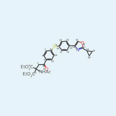 CCOC(=O)C(CC(=O)c1ccc(Sc2ccc(-c3coc(C4CC4)n3)cc2)cc1)(NC(C)=O)C(=O)OCC